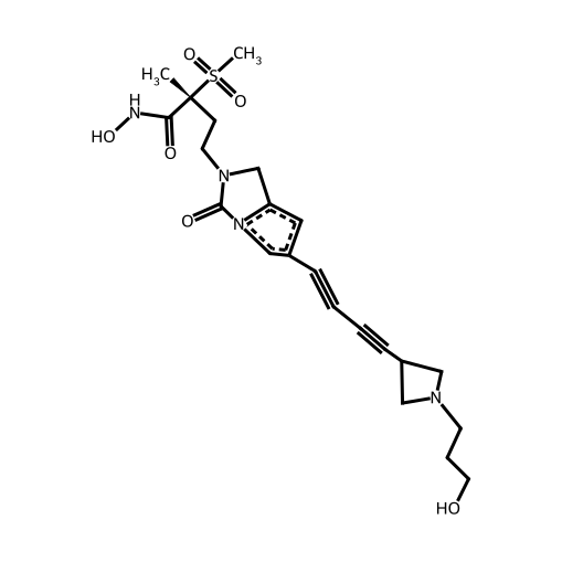 C[C@@](CCN1Cc2cc(C#CC#CC3CN(CCCO)C3)cn2C1=O)(C(=O)NO)S(C)(=O)=O